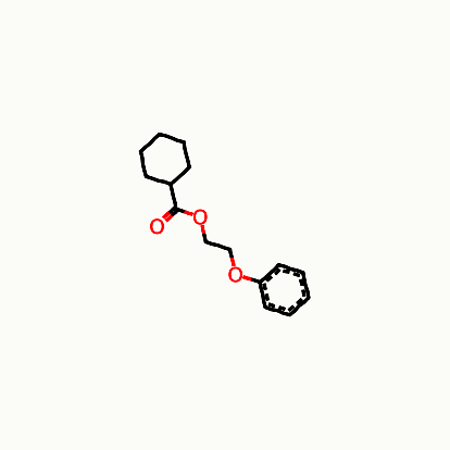 O=C(OCCOc1ccccc1)C1CCCCC1